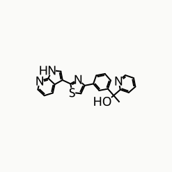 CC(O)(c1cccc(-c2csc(-c3c[nH]c4ncccc34)n2)c1)c1ccccn1